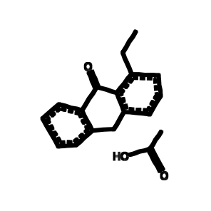 CC(=O)O.CCc1cccc2c1C(=O)c1ccccc1C2